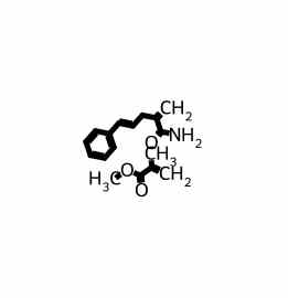 C=C(C)C(=O)OC.C=C(CC=Cc1ccccc1)C(N)=O